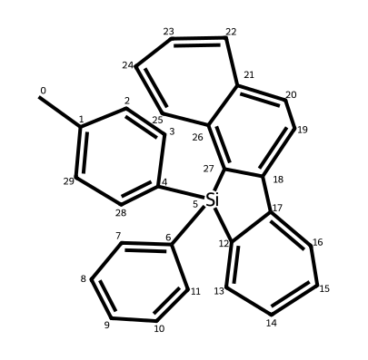 Cc1ccc([Si]2(c3ccccc3)c3ccccc3-c3ccc4ccccc4c32)cc1